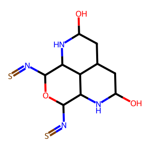 OC1CC2CC(O)NC3C(N=S)OC(N=S)C(N1)C23